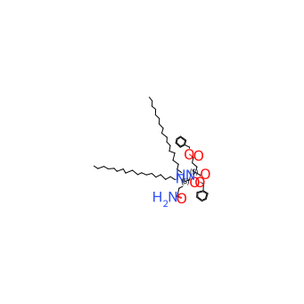 CCCCCCCCCCCCCCCCCCN(CCCCCCCCCCCCCCCCCC)[C@@H](CCC(N)=O)C(=O)N[C@@H](CCC(=O)OCc1ccccc1)C(=O)OCc1ccccc1